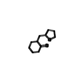 O=C1CCCCC1CC1CCCO1